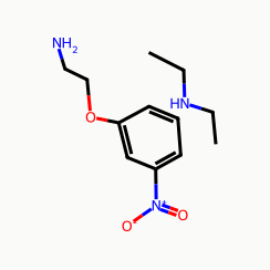 CCNCC.NCCOc1cccc([N+](=O)[O-])c1